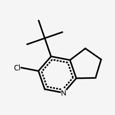 CC(C)(C)c1c(Cl)cnc2c1CCC2